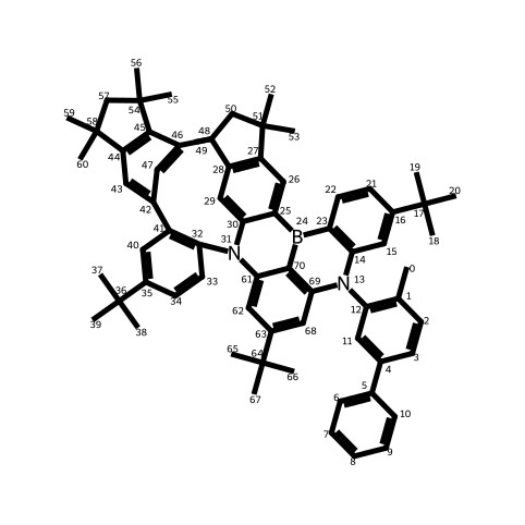 Cc1ccc(-c2ccccc2)cc1N1c2cc(C(C)(C)C)ccc2B2c3cc4c5cc3N(c3ccc(C(C)(C)C)cc3-c3cc6c(c(c3)C5(C)CC4(C)C)C(C)(C)CC6(C)C)c3cc(C(C)(C)C)cc1c32